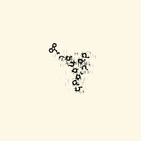 CC(=O)NC1C(O)[C@H](O[C@@H]2OC(CO)[C@H](O)[C@H](O)C2O)[C@H](CO)O[C@H]1OC1[C@@H](OCC2O[C@@H](O[C@@H]3C(CO)O[C@@H](O[C@@H]4C(CO)O[C@@H](NC(=O)CC(NC(=O)OCC5c6ccccc6-c6ccccc65)C(=O)O)C(NC(C)=O)[C@H]4O)C(NC(C)=O)[C@H]3O)C(O)[C@@H](O[C@H]3O[C@H](CO)[C@@H](O)C(O)C3O[C@@H]3OC(CO)[C@@H](O[C@@H]4OC(CO)[C@H](O)[C@H](O)C4O)[C@H](O)C3NC(C)=O)[C@@H]2O)OC(CO)[C@@H](O)[C@@H]1O